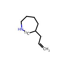 C=C[CH]C1CCCCN[13CH2]1